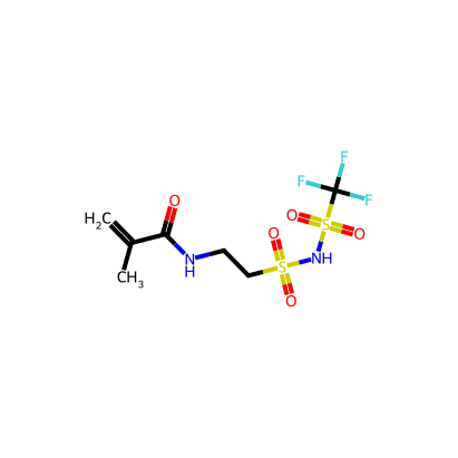 C=C(C)C(=O)NCCS(=O)(=O)NS(=O)(=O)C(F)(F)F